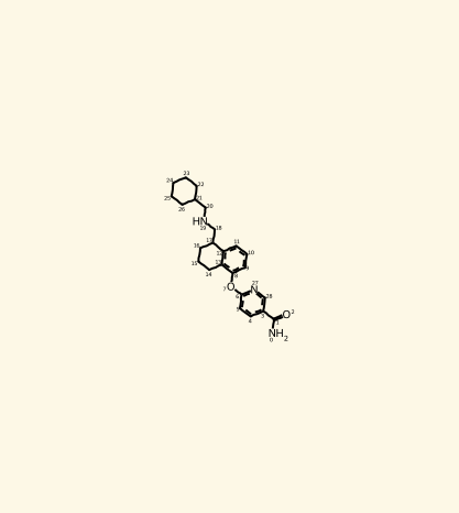 NC(=O)c1ccc(Oc2cccc3c2CCCC3CNCC2CCCCC2)nc1